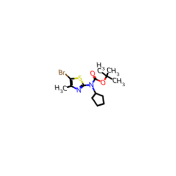 Cc1nc(N(C(=O)OC(C)(C)C)C2CCCC2)sc1Br